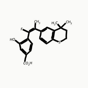 C/C(=C(\F)c1ccc(C(=O)O)cc1O)c1ccc2c(c1)C(C)(C)CCS2